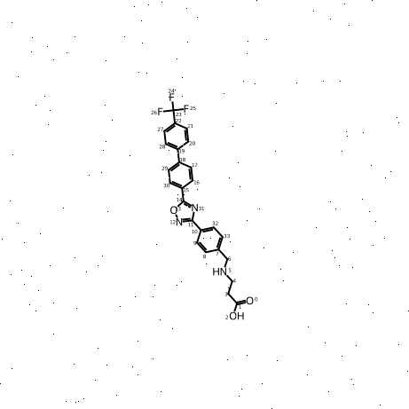 O=C(O)CCNCc1ccc(-c2noc(-c3ccc(-c4ccc(C(F)(F)F)cc4)cc3)n2)cc1